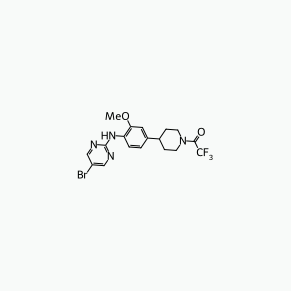 COc1cc(C2CCN(C(=O)C(F)(F)F)CC2)ccc1Nc1ncc(Br)cn1